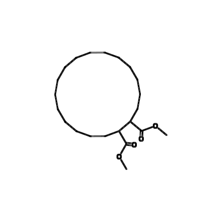 COC(=O)C1CCCCCCCCCCCCCCCCC1C(=O)OC